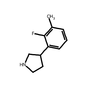 Cc1cccc(C2CCNC2)c1F